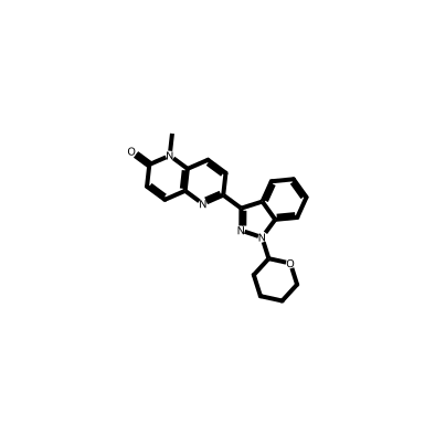 Cn1c(=O)ccc2nc(-c3nn(C4CCCCO4)c4ccccc34)ccc21